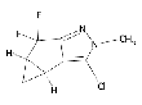 Cn1nc2c(c1Cl)[C@H]1C[C@H]1C2(F)F